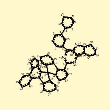 c1ccc(-c2cccc(-c3nc(-c4cccc5c4-c4ccccc4C54c5ccccc5-c5c4c4ccccc4c4ccccc54)nc4c3sc3ccccc34)c2)cc1